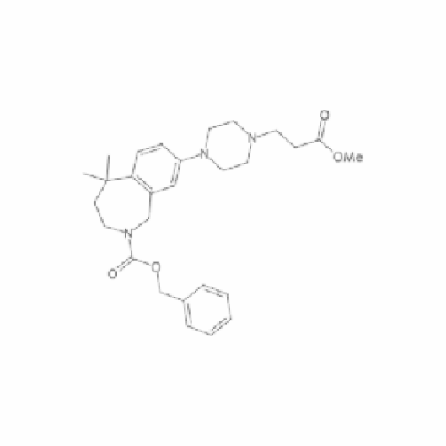 COC(=O)CCN1CCN(c2ccc3c(c2)CN(C(=O)OCc2ccccc2)CCC3(C)C)CC1